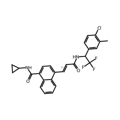 Cc1cc(C(NC(=O)/C=C/c2ccc(C(=O)NC3CC3)c3ccccc23)C(F)(F)F)ccc1Cl